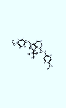 COc1ccc(COC2CCCc3c2c(C(F)(F)F)nn3Cc2ccc(OC)cc2)cc1